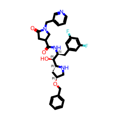 O=C(N[C@@H](Cc1cc(F)cc(F)c1)[C@H](O)[C@H]1C[C@@H](OCc2ccccc2)CN1)C1CC(=O)N(Cc2cccnc2)C1